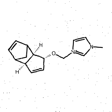 Cn1cc[n+](CO[C@@H]2C=C[C@H]3C4C=CC(C4)[C@@H]23)c1